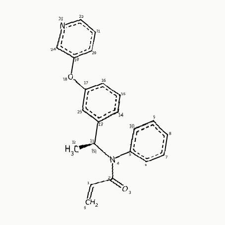 C=CC(=O)N(c1ccccc1)[C@@H](C)c1cccc(Oc2cccnc2)c1